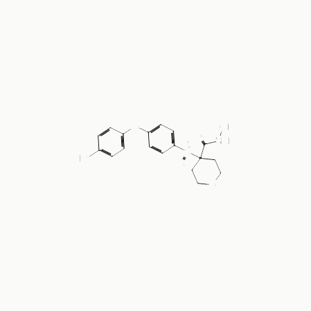 CC(C)c1ccc(Oc2ccc(S(=O)(=O)C3(C(=O)NO)CCOCC3)cc2)cc1